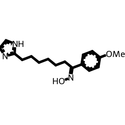 COc1ccc(C(CCCCCCc2ncc[nH]2)=NO)cc1